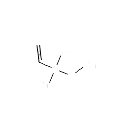 C=C[Si](OC(C)(C)C)(C(C)C)C(C)C